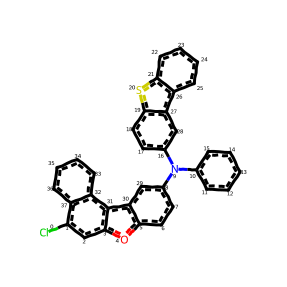 Clc1cc2oc3ccc(N(c4ccccc4)c4ccc5sc6ccccc6c5c4)cc3c2c2ccccc12